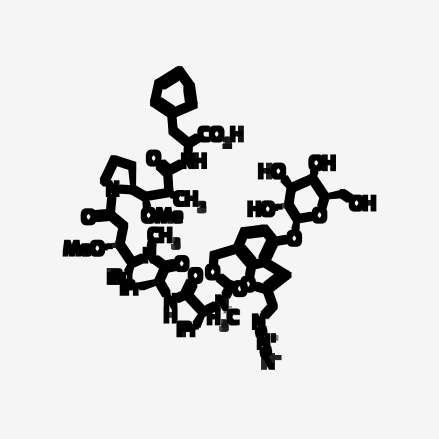 CCC(C)[C@@H]([C@@H](CC(=O)N1CCC[C@H]1[C@H](OC)[C@@H](C)C(=O)NC(Cc1ccccc1)C(=O)O)OC)N(C)C(=O)[C@@H](NC(=O)[C@H](C(C)C)N(C)C(=O)OCc1ccc(O[C@@H]2O[C@H](CO)[C@H](O)[C@H](O)[C@H]2O)c2cc(CN=[N+]=[N-])oc12)C(C)C